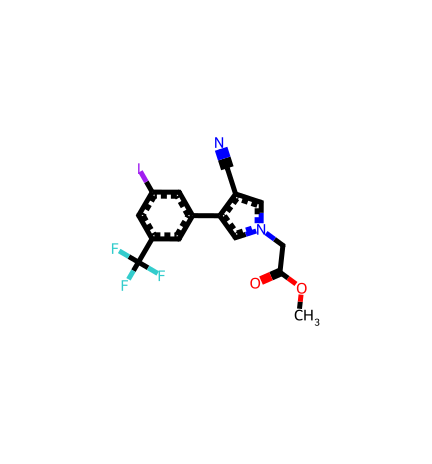 COC(=O)Cn1cc(C#N)c(-c2cc(I)cc(C(F)(F)F)c2)c1